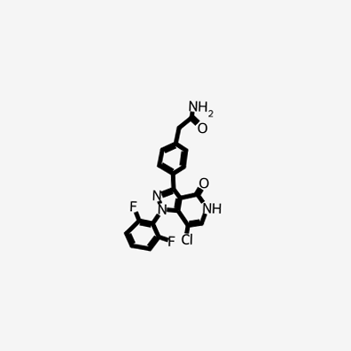 NC(=O)Cc1ccc(-c2nn(-c3c(F)cccc3F)c3c(Cl)c[nH]c(=O)c23)cc1